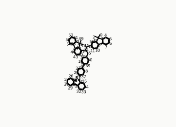 CC1(C)c2ccccc2-c2ccc(CC(Cc3ccc(-c4ccc(-n5c6ccccc6c6ccccc65)cc4)cc3)c3cccc4c3C(C)(C)c3ccccc3-4)cc21